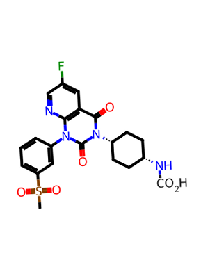 CS(=O)(=O)c1cccc(-n2c(=O)n([C@H]3CC[C@@H](NC(=O)O)CC3)c(=O)c3cc(F)cnc32)c1